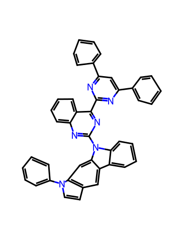 c1ccc(-c2cc(-c3ccccc3)nc(-c3nc(-n4c5ccccc5c5cc6ccn(-c7ccccc7)c6cc54)nc4ccccc34)n2)cc1